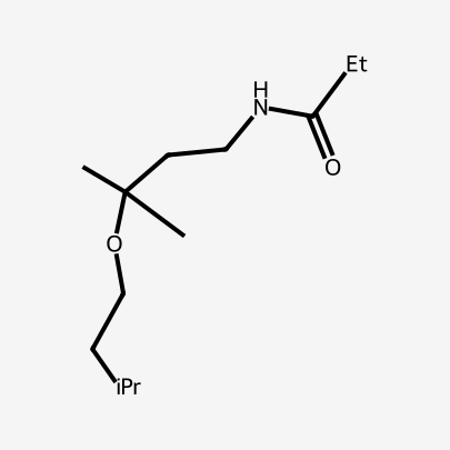 CCC(=O)NCCC(C)(C)OCCC(C)C